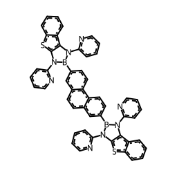 c1ccc(N2B(c3ccc4c(ccc5cc(B6N(c7ccccn7)c7sc8ccccc8c7N6c6ccccn6)ccc54)c3)N(c3ccccn3)c3c2sc2ccccc32)nc1